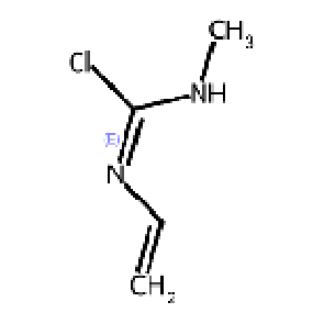 C=C/N=C(/Cl)NC